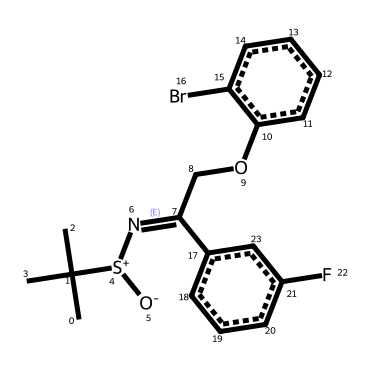 CC(C)(C)[S+]([O-])/N=C(/COc1ccccc1Br)c1cccc(F)c1